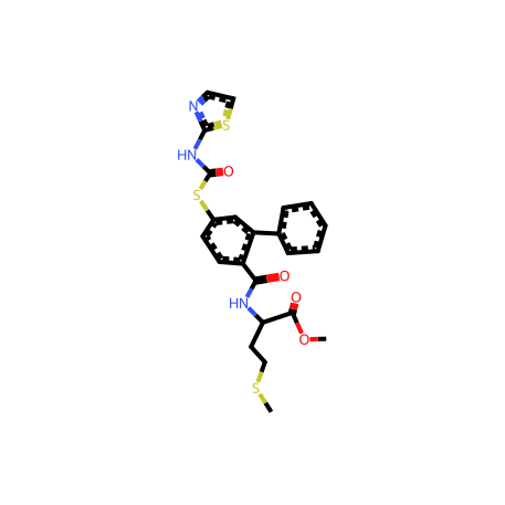 COC(=O)C(CCSC)NC(=O)c1ccc(SC(=O)Nc2nccs2)cc1-c1ccccc1